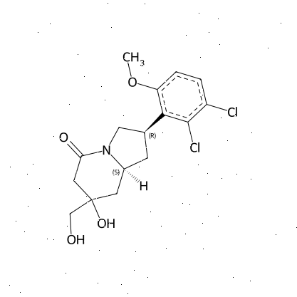 COc1ccc(Cl)c(Cl)c1[C@H]1C[C@H]2CC(O)(CO)CC(=O)N2C1